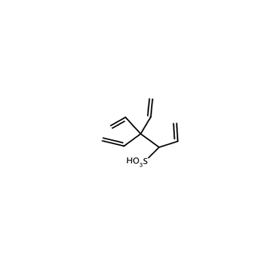 C=CC(C(C=C)(C=C)C=C)S(=O)(=O)O